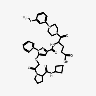 COc1cccc(N2CCN(C(=O)C(CCC(=O)O)NC(=O)c3cc(OCC(=O)N4CCCC4C(=O)NC4CCC4)n(-c4ccccc4)n3)CC2)c1